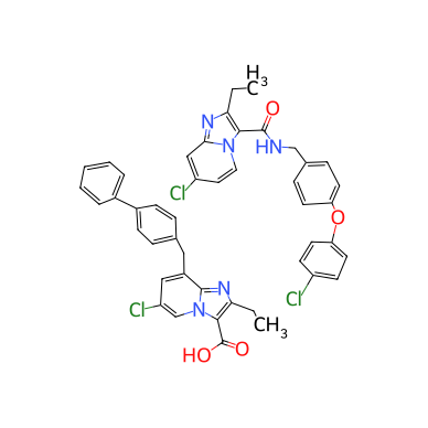 CCc1nc2c(Cc3ccc(-c4ccccc4)cc3)cc(Cl)cn2c1C(=O)O.CCc1nc2cc(Cl)ccn2c1C(=O)NCc1ccc(Oc2ccc(Cl)cc2)cc1